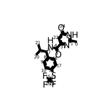 Cc1nc(C(=O)N[C@H](c2ccc(SC(F)(F)F)cc2)C(C)C)cc(=O)[nH]1